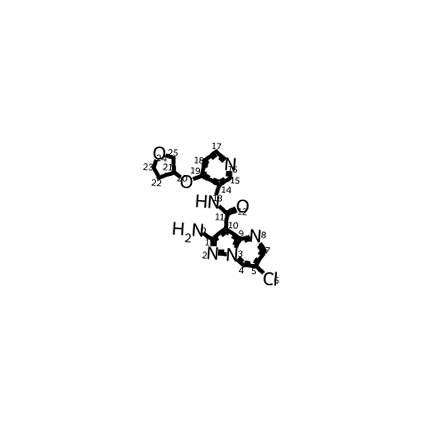 Nc1nn2cc(Cl)cnc2c1C(=O)Nc1cnccc1OC1CCOC1